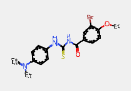 CCOc1ccc(C(=O)NC(=S)Nc2ccc(N(CC)CC)cc2)cc1Br